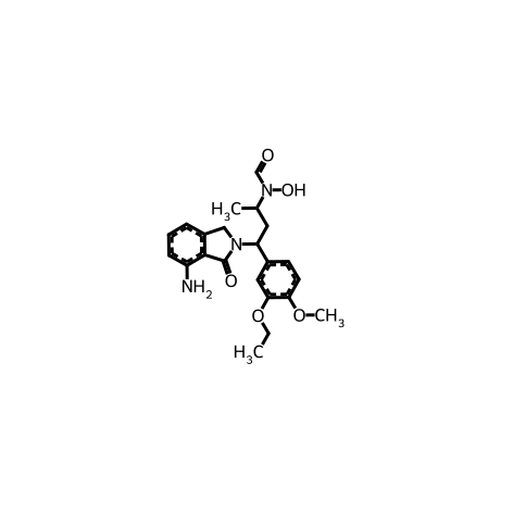 CCOc1cc(C(CC(C)N(O)C=O)N2Cc3cccc(N)c3C2=O)ccc1OC